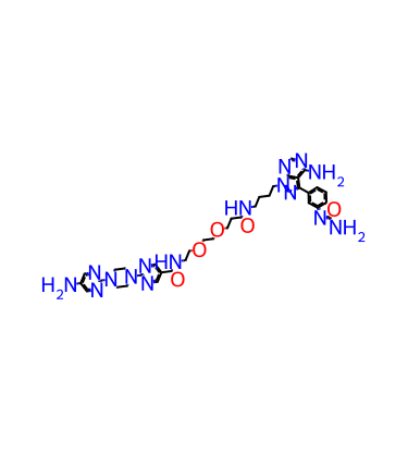 Nc1cnc(N2CCN(c3ncc(C(=O)NCCOCCOCCC(=O)NCCCCn4nc(-c5ccc6oc(N)nc6c5)c5c(N)ncnc54)cn3)CC2)nc1